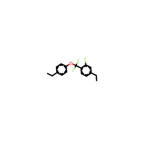 CCc1ccc(OC(F)(F)c2ccc(CC)cc2F)cc1